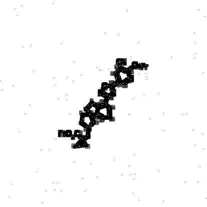 CCOC(=O)C1(CN2CCC3(CCc4c(-c5noc(-c6cnc(OC(C)C)c(C#N)c6)n5)cccc43)C2)CC1